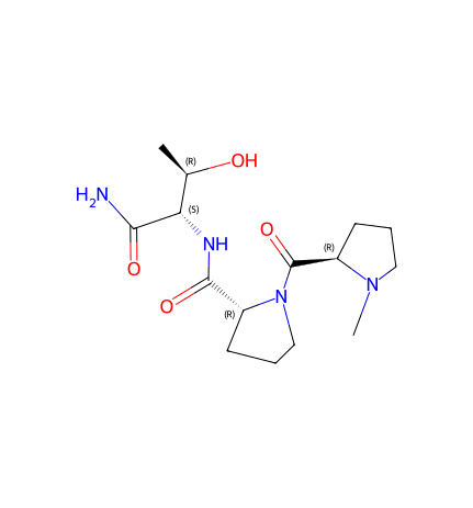 C[C@@H](O)[C@H](NC(=O)[C@H]1CCCN1C(=O)[C@H]1CCCN1C)C(N)=O